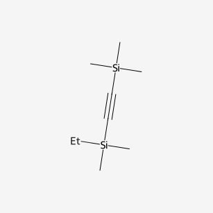 CC[Si](C)(C)C#C[Si](C)(C)C